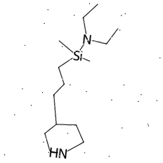 CCN(CC)[Si](C)(C)CCCC1CCNCC1